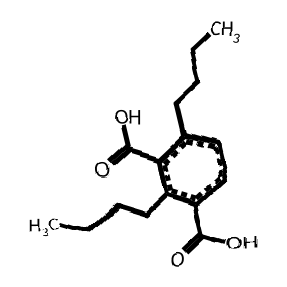 CCCCc1ccc(C(=O)O)c(CCCC)c1C(=O)O